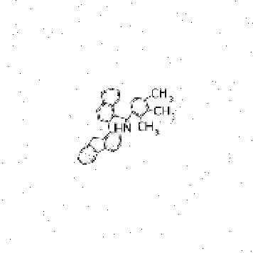 Cc1ccc(C(=N)c2c(-c3cccc4c3Cc3ccccc3-4)ccc3ccccc23)c(C)c1C